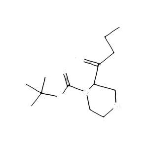 CCCC(=O)C1CNCCN1C(=O)OC(C)(C)C